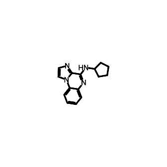 c1ccc2c(c1)nc(NC1CCCC1)c1nccn12